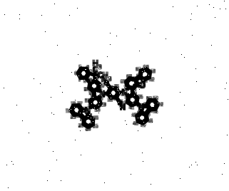 CC1(C)c2ccccc2-c2cc3c4cc(-n5c6ccccc6c6ccccc65)ccc4n(-c4cc(C#N)c(-n5c6ccc(-n7c8ccccc8c8ccccc87)cc6c6c7oc8ccccc8c7ccc65)cc4C#N)c3cc21